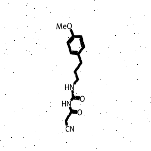 COc1ccc(CCCNC(=O)NC(=O)CC#N)cc1